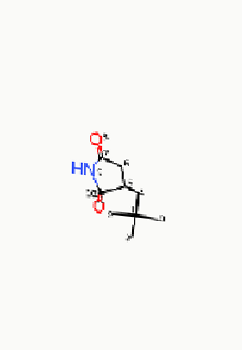 CC(C)(C)CC1CC(=O)NC1=O